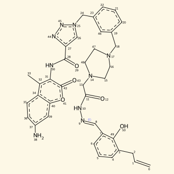 C=CCc1cccc(/C=N/NC(=O)CN2CCN(Cc3cccc(Cn4cc(C(=O)Nc5c(C)c6ccc(N)cc6oc5=O)nn4)c3)CC2)c1O